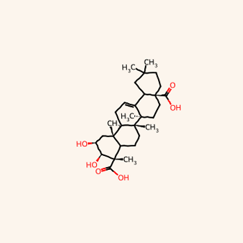 CC1(C)CC[C@]2(C(=O)O)CC[C@]3(C)C(=CCC4[C@@]5(C)C[C@H](O)[C@H](O)[C@@](C)(C(=O)O)C5CC[C@]43C)C2C1